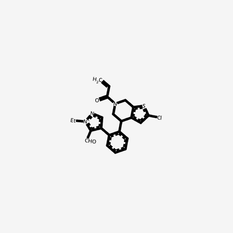 C=CC(=O)N1Cc2sc(Cl)cc2C(c2ccccc2-c2cnn(CC)c2C=O)C1